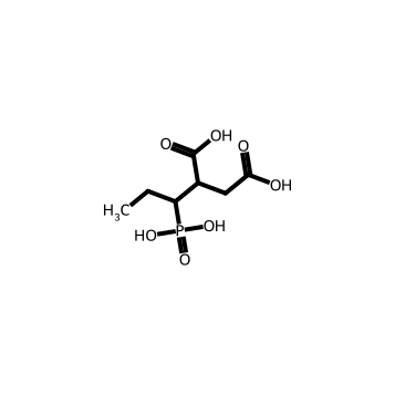 CCC(C(CC(=O)O)C(=O)O)P(=O)(O)O